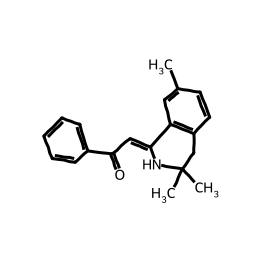 Cc1ccc2c(c1)C(=CC(=O)c1ccccc1)NC(C)(C)C2